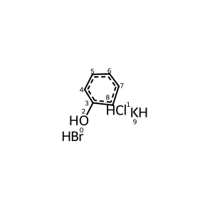 Br.Cl.Oc1ccccc1.[KH]